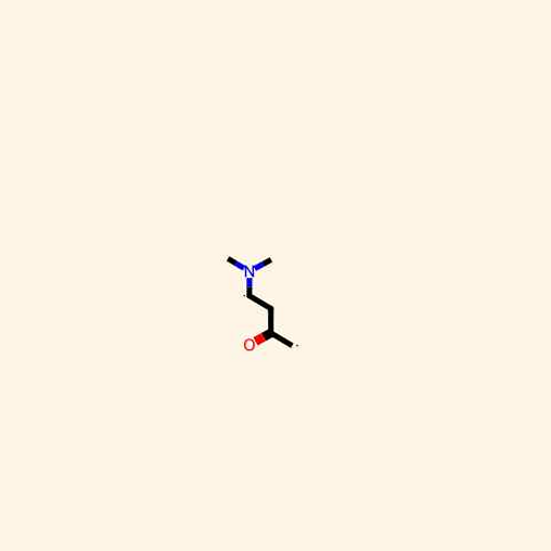 [CH2]C(=O)C[CH]N(C)C